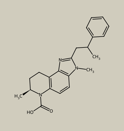 CC(Cc1nc2c3c(ccc2n1C)N(C(=O)O)[C@@H](C)CC3)c1ccccc1